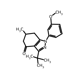 COc1cccc(-n2nc(C(C)(C)C)c3c2CC(C)CC3=O)c1